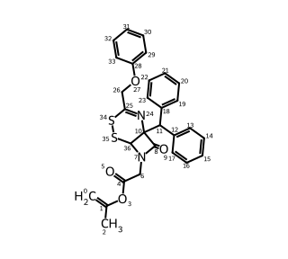 C=C(C)OC(=O)CN1C(=O)C2(C(c3ccccc3)c3ccccc3)N=C(COc3ccccc3)SSC12